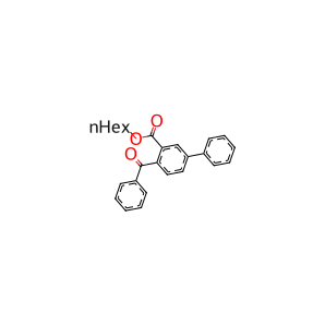 CCCCCCOC(=O)c1cc(-c2ccccc2)ccc1C(=O)c1ccccc1